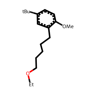 CCOCCCCCc1cc(C(C)(C)C)ccc1OC